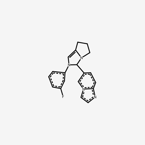 Fc1cccc(N2C=C3CCCN3C2c2ccc3nccn3c2)c1